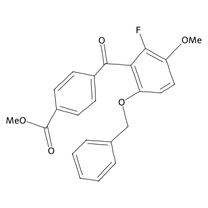 COC(=O)c1ccc(C(=O)c2c(OCc3ccccc3)ccc(OC)c2F)cc1